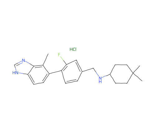 Cc1c(-c2ccc(CNC3CCC(C)(C)CC3)cc2F)ccc2[nH]cnc12.Cl